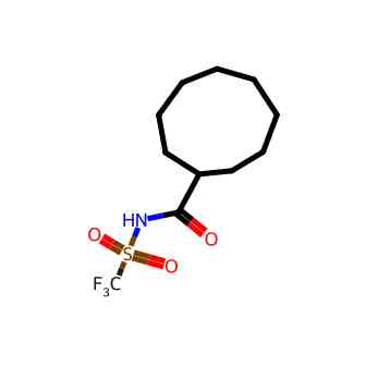 O=C(NS(=O)(=O)C(F)(F)F)C1CCCCCCCC1